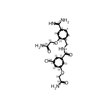 N=C(N)c1ccc(CNC(=O)c2cc(Cl)cc(OCC(N)=O)c2)c(OCC(N)=O)c1